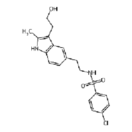 Cc1[nH]c2ccc(CCNS(=O)(=O)c3ccc(Cl)cc3)cc2c1CCO